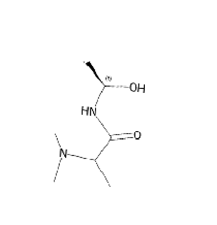 [CH2][C@@H](O)NC(=O)C(C)N(C)C